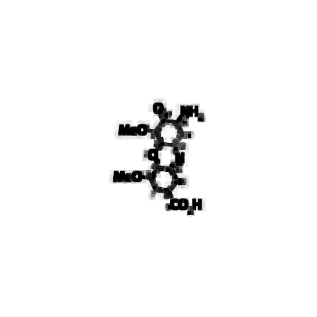 COc1c2oc3c(OC)cc(C(=O)O)cc3nc-2cc(N)c1=O